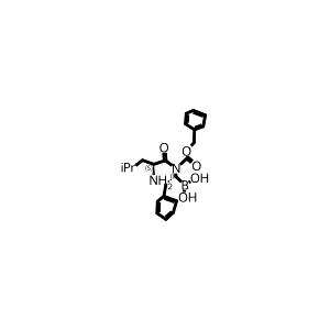 CC(C)C[C@H](N)C(=O)N(C(=O)OCc1ccccc1)[C@@H](Cc1ccccc1)B(O)O